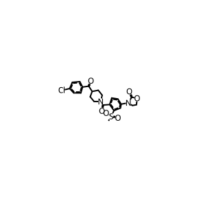 CS(=O)(=O)c1cc(N2CCOC2=O)ccc1C(=O)N1CCC(C(=O)c2ccc(Cl)cc2)CC1